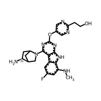 CNc1cc(F)cc2c1[nH]c1nc(Oc3cnc(CCO)nc3)nc(N3CC4CC3C[C@@H]4N)c12